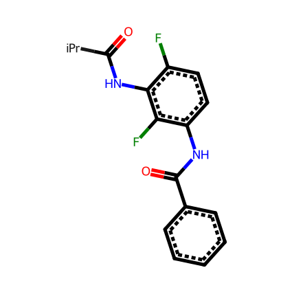 CC(C)C(=O)Nc1c(F)ccc(NC(=O)c2ccccc2)c1F